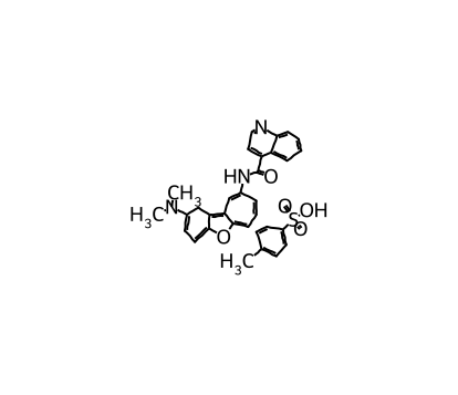 CN(C)C1=CC=c2oc3c(c2C1)C=C(NC(=O)c1ccnc2ccccc12)C=CC=3.Cc1ccc(S(=O)(=O)O)cc1